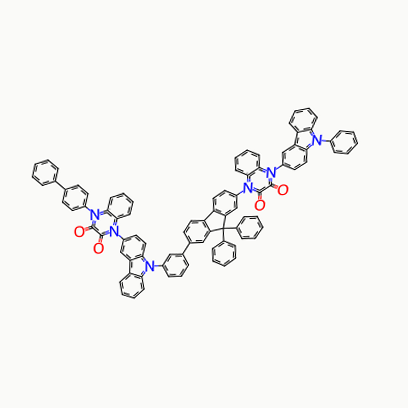 O=c1c(=O)n(-c2ccc3c(c2)c2ccccc2n3-c2cccc(-c3ccc4c(c3)C(c3ccccc3)(c3ccccc3)c3cc(-n5c(=O)c(=O)n(-c6ccc7c(c6)c6ccccc6n7-c6ccccc6)c6ccccc65)ccc3-4)c2)c2ccccc2n1-c1ccc(-c2ccccc2)cc1